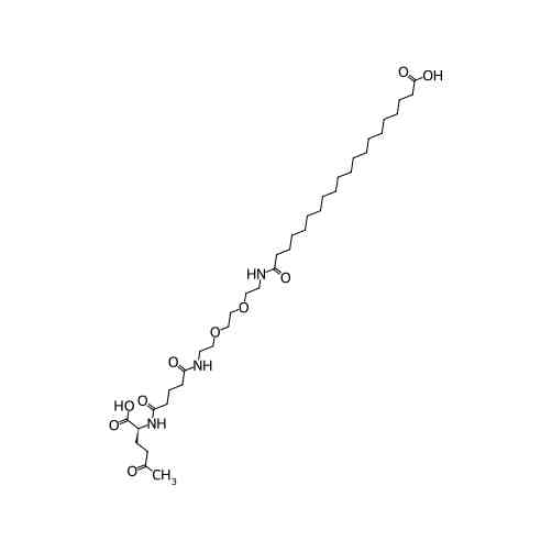 CC(=O)CC[C@H](NC(=O)CCCC(=O)NCCOCCOCCNC(=O)CCCCCCCCCCCCCCCCCCC(=O)O)C(=O)O